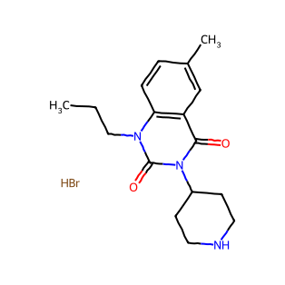 Br.CCCn1c(=O)n(C2CCNCC2)c(=O)c2cc(C)ccc21